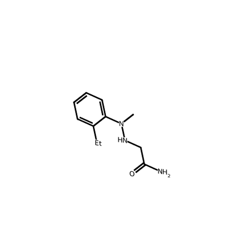 CCc1ccccc1N(C)NCC(N)=O